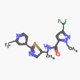 CC(NC(=O)c1cc(C(F)F)nn1C)c1cnc(-c2ccnc(C(F)(F)F)c2)s1